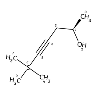 C[C@@H](O)CC#CS(C)(C)C